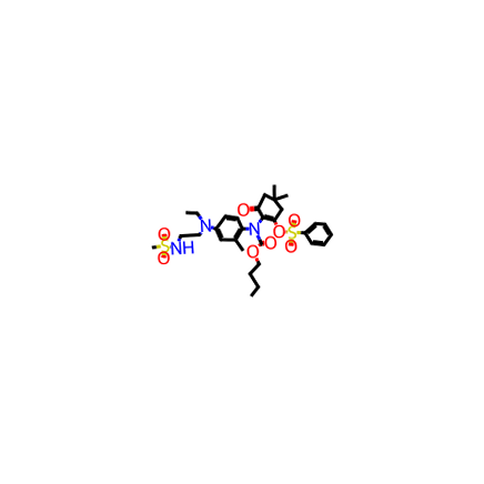 CCCCOC(=O)N(C1=C(OS(=O)(=O)c2ccccc2)CC(C)(C)CC1=O)c1ccc(N(CC)CCNS(C)(=O)=O)cc1C